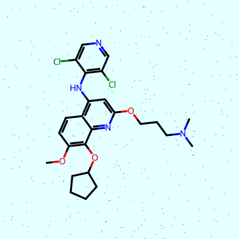 COc1ccc2c(Nc3c(Cl)cncc3Cl)cc(OCCCN(C)C)nc2c1OC1CCCC1